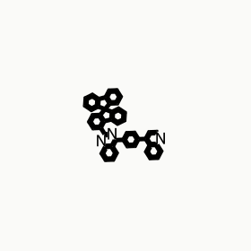 c1ccc2c(c1)-c1ccccc1C21c2ccccc2-c2c(-c3nc(-c4ccc(-c5ccnc6ccccc56)cc4)c4ccccc4n3)cccc21